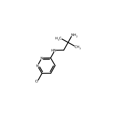 CC(C)(N)CNc1ccc(Cl)nn1